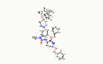 Cn1c(=O)n(-c2ccc(OCc3ccccc3)nc2OCc2ccccc2)c2ccc(N3CCC(O[Si](C)(C)C(C)(C)C)CC3)cc21